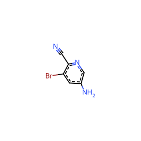 N#Cc1ncc(N)cc1Br